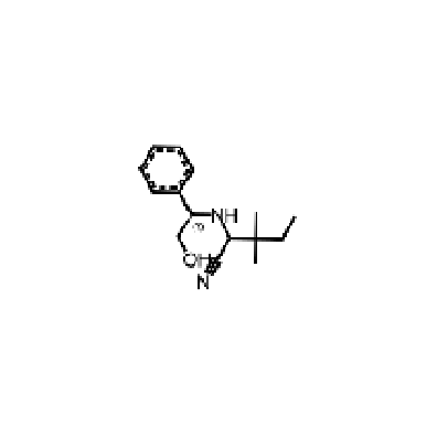 CCC(C)(C)C(C#N)N[C@@H](CO)c1ccccc1